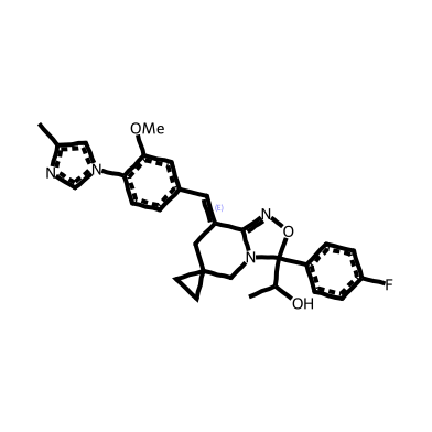 COc1cc(/C=C2\CC3(CC3)CN3C2=NOC3(c2ccc(F)cc2)C(C)O)ccc1-n1cnc(C)c1